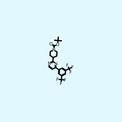 CC(C)(C)OC(=O)N1CCC(c2nccc(-c3cc(C(F)(F)F)cc(C(F)(F)F)c3)n2)CC1